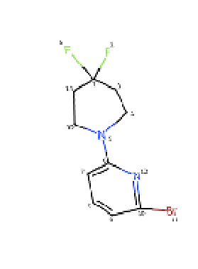 FC1(F)CCN(c2cccc(Br)n2)CC1